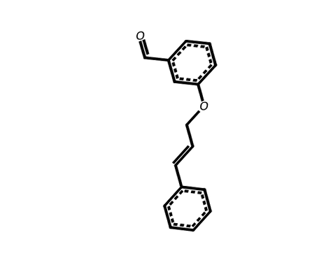 O=Cc1cccc(OCC=Cc2ccccc2)c1